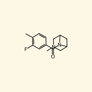 Cc1ccc(C(=O)N2C3CC2CN(C)C3)cc1F